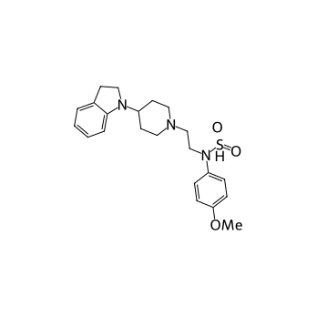 COc1ccc(N(CCN2CCC(N3CCc4ccccc43)CC2)[SH](=O)=O)cc1